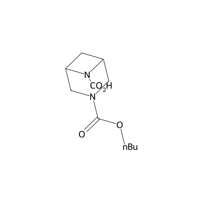 CCCCOC(=O)N1CC2CC(C1)N2C(=O)O